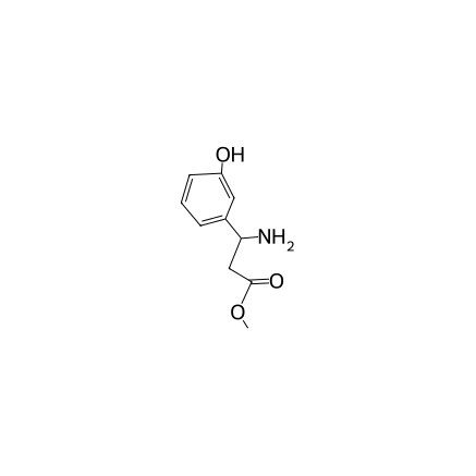 COC(=O)CC(N)c1cccc(O)c1